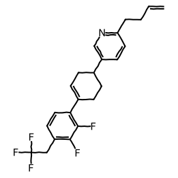 C=CCCc1ccc(C2CC=C(c3ccc(CC(F)(F)F)c(F)c3F)CC2)cn1